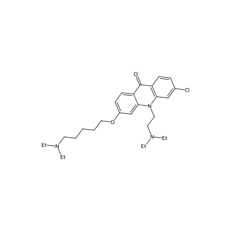 CCN(CC)CCCCCOc1ccc2c(=O)c3ccc(Cl)cc3n(CCN(CC)CC)c2c1